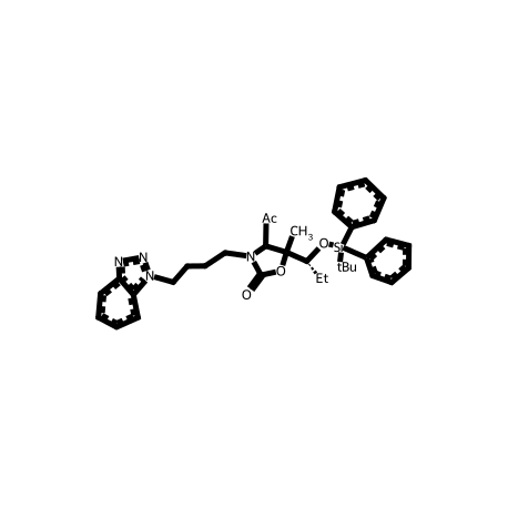 CC[C@@H](O[Si](c1ccccc1)(c1ccccc1)C(C)(C)C)C1(C)OC(=O)N(CCCCn2nnc3ccccc32)C1C(C)=O